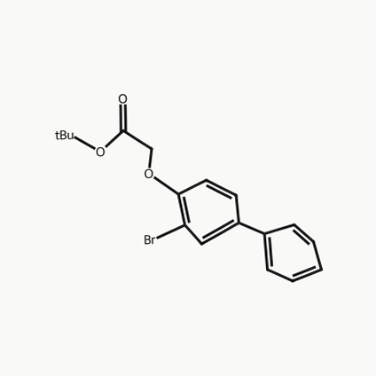 CC(C)(C)OC(=O)COc1ccc(-c2ccccc2)cc1Br